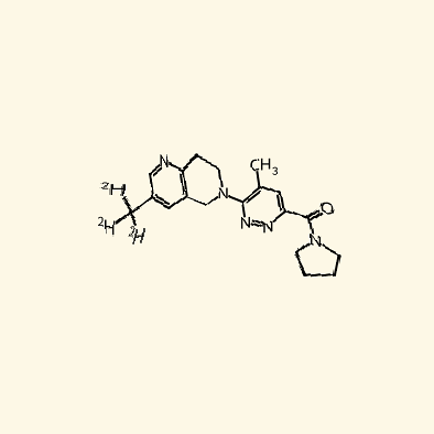 [2H]C([2H])([2H])c1cnc2c(c1)CN(c1nnc(C(=O)N3CCCC3)cc1C)CC2